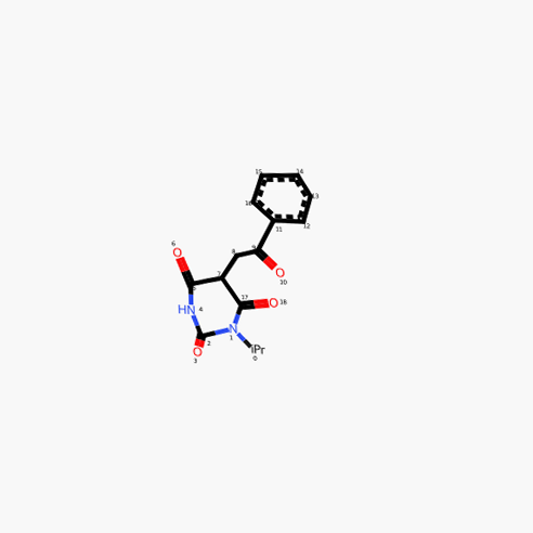 CC(C)N1C(=O)NC(=O)C(CC(=O)c2ccccc2)C1=O